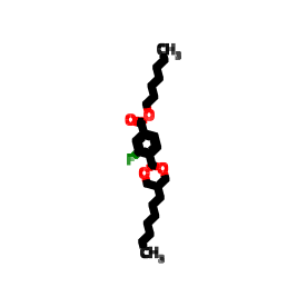 CCCCCCCOC(=O)c1ccc(C2OCC(CCCCCCC)CO2)c(F)c1